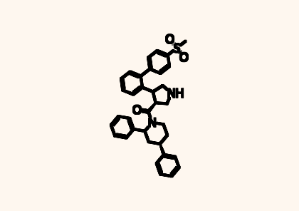 CS(=O)(=O)c1ccc(-c2ccccc2C2CNC[C@H]2C(=O)N2CC[C@@H](c3ccccc3)CC2c2ccccc2)cc1